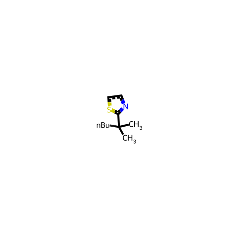 CCCCC(C)(C)c1nccs1